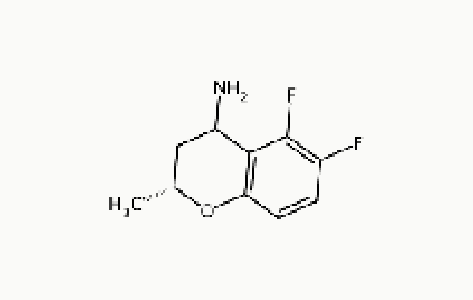 C[C@@H]1CC(N)c2c(ccc(F)c2F)O1